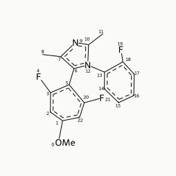 COc1cc(F)c(-c2c(C)nc(C)n2-c2ccccc2F)c(F)c1